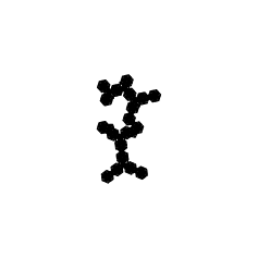 c1ccc(-c2ccc(N(c3ccc(-c4ccccc4)cc3)c3ccc(-c4ccc(N(c5ccc6c(c5)Cc5ccccc5-6)c5ccc6c(c5)Cc5cccc(-c7cccc(-c8ccc(N(c9ccc(-c%10ccccc%10)cc9)c9ccc(N(c%10ccccc%10)c%10ccc(N(c%11ccccc%11)c%11ccccc%11)cc%10)cc9)cc8)c7)c5-6)cc4)cc3)cc2)cc1